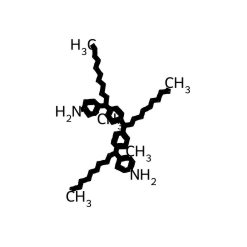 CCCCCCCCCCC(c1ccc(C(CCCCCCCCCC)c2ccc(N)cc2C)cc1)c1ccc(C(CCCCCCCCCC)c2ccc(N)cc2C)cc1